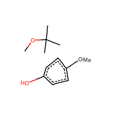 COC(C)(C)C.COc1ccc(O)cc1